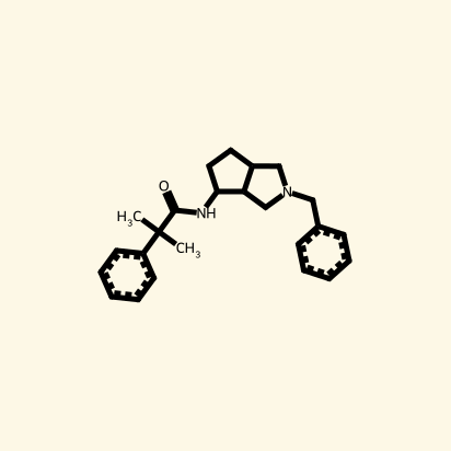 CC(C)(C(=O)NC1CCC2CN(Cc3ccccc3)CC21)c1ccccc1